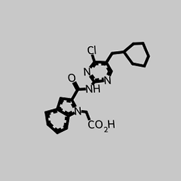 O=C(O)Cn1c(C(=O)Nc2ncc(CC3CCCCC3)c(Cl)n2)cc2ccccc21